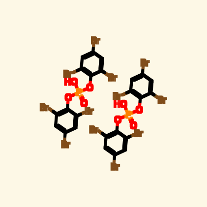 O=P(O)(Oc1c(Br)cc(Br)cc1Br)Oc1c(Br)cc(Br)cc1Br.O=P(O)(Oc1c(Br)cc(Br)cc1Br)Oc1c(Br)cc(Br)cc1Br